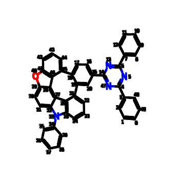 c1ccc(-c2nc(-c3ccccc3)nc(-c3ccc4c(c3)c3cccc5c3c3c6c(ccc3n5-c3ccccc3)oc3cccc4c36)n2)cc1